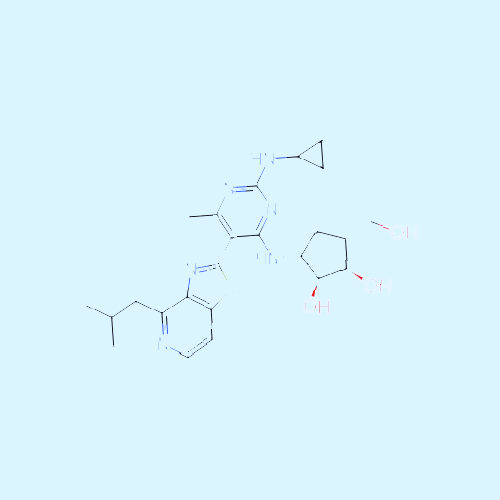 Cc1nc(NC2CC2)nc(N[C@@H]2C[C@H](CO)[C@@H](O)[C@H]2O)c1-c1nc2c(CC(C)C)nccc2s1